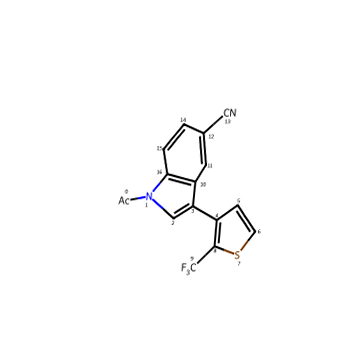 CC(=O)n1cc(-c2ccsc2C(F)(F)F)c2cc(C#N)ccc21